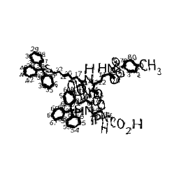 Cc1ccc(S(=O)(=O)NC(=O)CCC(NC(=O)CC(O)C=CCCSC(c2ccccc2)(c2ccccc2)c2ccccc2)C(=O)NC(CSC(c2ccccc2)(c2ccccc2)c2ccccc2)C(=O)NC(C(=O)NCC(=O)O)C(C)C)cc1